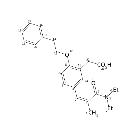 CCN(CC)C(=O)/C(C)=C\c1ccc(OCCc2ccccc2)c(CC(=O)O)c1